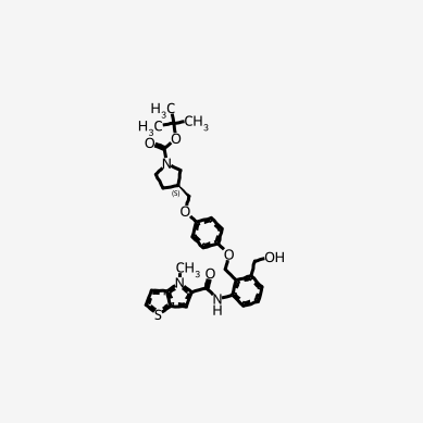 Cn1c(C(=O)Nc2cccc(CO)c2COc2ccc(OC[C@H]3CCN(C(=O)OC(C)(C)C)C3)cc2)cc2sccc21